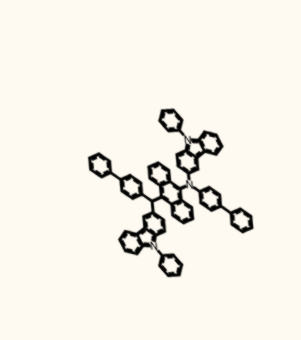 c1ccc(-c2ccc(C(c3ccc4c(c3)c3ccccc3n4-c3ccccc3)c3c4ccccc4c(N(c4ccc(-c5ccccc5)cc4)c4ccc5c(c4)c4ccccc4n5-c4ccccc4)c4ccccc34)cc2)cc1